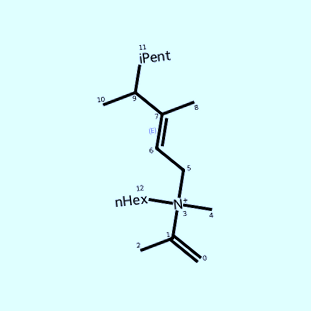 C=C(C)[N+](C)(C/C=C(\C)C(C)C(C)CCC)CCCCCC